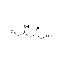 O=CCC(O)CC(O)CCl